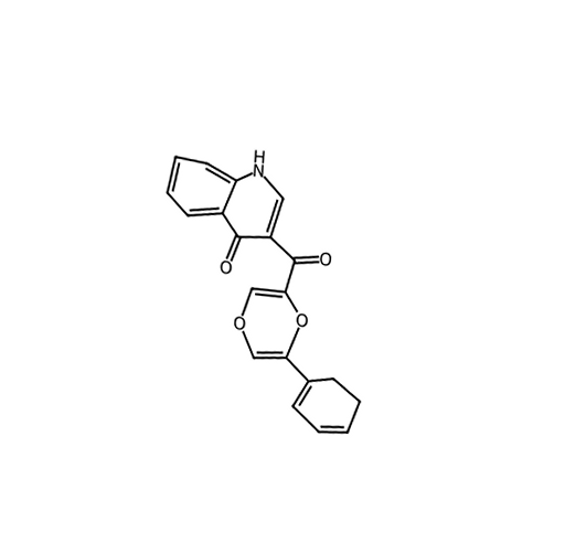 O=C(C1=COC=C(C2=CC=CCC2)O1)c1c[nH]c2ccccc2c1=O